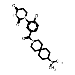 CN(C)C1CCC2(CC1)CCN(C(=O)c1ccc(Cl)c(N3CCC(=O)NC3=O)c1)CC2